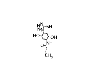 CCCC(=O)Nc1cc(O)c(-n2nnnc2S)cc1O